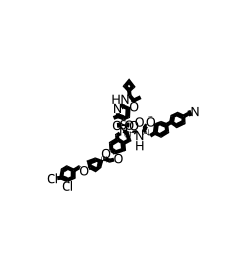 COC(=O)[C@H](Cc1ccc(-c2ccc(C#N)cc2)cc1)NC(=O)[C@@H]1Cc2cc3c(cc2CN1S(=O)(=O)c1ccc(NC(C(C)=O)C2CCC2)nc1C)O[C@@H](c1ccc(OCc2ccc(Cl)c(Cl)c2)cc1)CO3